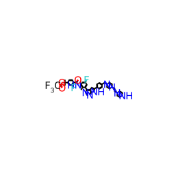 Cc1c(NC(=O)c2ccc(C(C)(C)OC(=O)C(F)(F)F)cc2F)cc(F)cc1-c1ncnc2[nH]c(-c3ccc(CN4CCN(CCN5CCNCC5)CC4)cc3)cc12